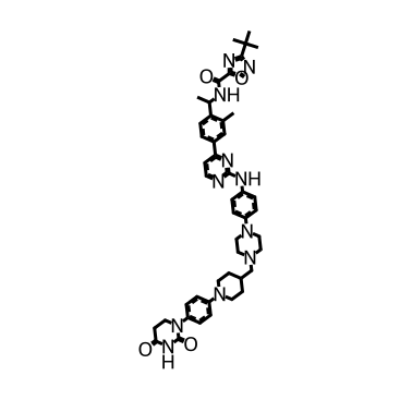 Cc1cc(-c2ccnc(Nc3ccc(N4CCN(CC5CCN(c6ccc(N7CCC(=O)NC7=O)cc6)CC5)CC4)cc3)n2)ccc1C(C)NC(=O)c1nc(C(C)(C)C)no1